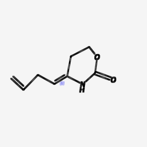 C=CC/C=C1\CCOC(=O)N1